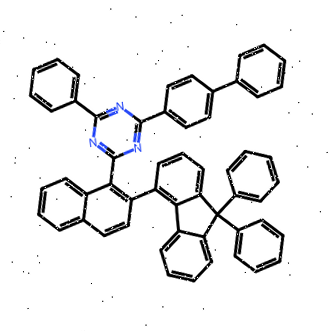 c1ccc(-c2ccc(-c3nc(-c4ccccc4)nc(-c4c(-c5cccc6c5-c5ccccc5C6(c5ccccc5)c5ccccc5)ccc5ccccc45)n3)cc2)cc1